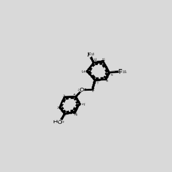 Oc1ccc(OCc2cc(F)cc(F)c2)cc1